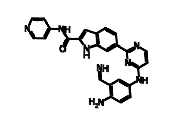 N=Cc1cc(Nc2ccnc(-c3ccc4cc(C(=O)Nc5ccncc5)[nH]c4c3)n2)ccc1N